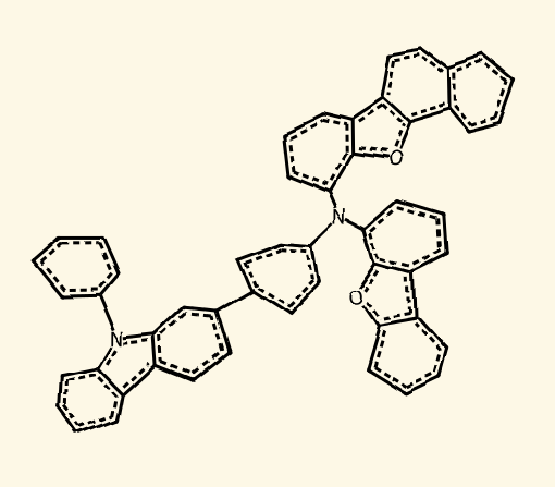 c1ccc(-n2c3ccccc3c3ccc(-c4ccc(N(c5cccc6c5oc5ccccc56)c5cccc6c5oc5c7ccccc7ccc65)cc4)cc32)cc1